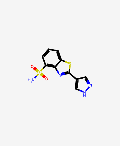 NS(=O)(=O)c1cccc2sc(-c3cn[nH]c3)nc12